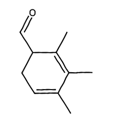 CC1=CCC(C=O)C(C)=C1C